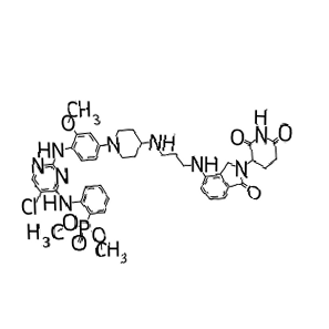 COc1cc(N2CCC(NCCCNc3cccc4c3CN(C3CCC(=O)NC3=O)C4=O)CC2)ccc1Nc1ncc(Cl)c(Nc2ccccc2P(=O)(OC)OC)n1